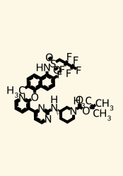 Cc1ccc2c(NS(=O)(=O)CC(F)(F)C(F)(F)F)c(F)ccc2c1Oc1ncccc1-c1ccnc(N[C@H]2CCCN(C(=O)OC(C)(C)C)C2)n1